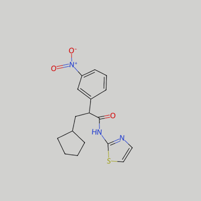 O=C(Nc1nccs1)C(CC1CCCC1)c1cccc([N+](=O)[O-])c1